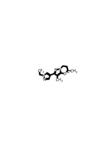 Cc1c(-c2cnn(CC(F)(F)F)c2)nn2c1O[C@H](C)CC2